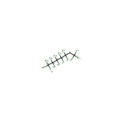 FC(F)(F)[C]C(F)(F)C(F)(F)C(F)(F)C(F)(F)C(F)(F)F